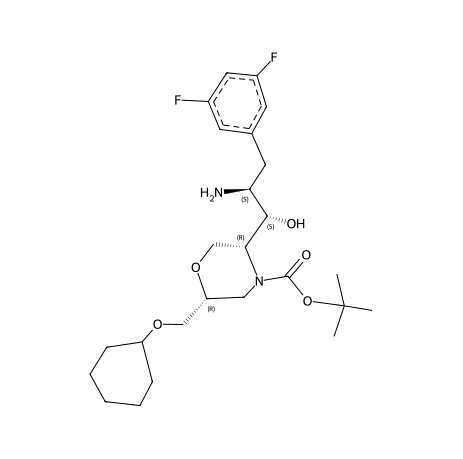 CC(C)(C)OC(=O)N1C[C@H](COC2CCCCC2)OC[C@@H]1[C@@H](O)[C@@H](N)Cc1cc(F)cc(F)c1